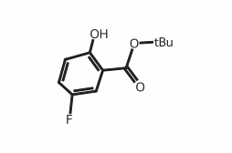 CC(C)(C)OC(=O)c1cc(F)ccc1O